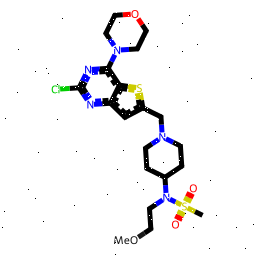 COCCN(C1CCN(Cc2cc3nc(Cl)nc(N4CCOCC4)c3s2)CC1)S(C)(=O)=O